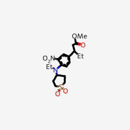 CCC(CC(=O)OC)c1ccc(N(CC)C2CCS(=O)(=O)CC2)c([N+](=O)[O-])c1